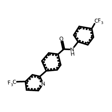 O=C(Nc1ccc(C(F)(F)F)cc1)c1ccc(-c2cc(C(F)(F)F)ccn2)cc1